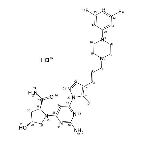 Cc1c(C=CCN2CCN(c3cc(F)cc(F)c3)CC2)cnn1-c1cc(N2C[C@@H](O)C[C@H]2C(N)=O)nc(N)n1.Cl